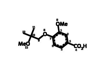 COc1cc(C(=O)O)ccc1OCC(C)(C)OC